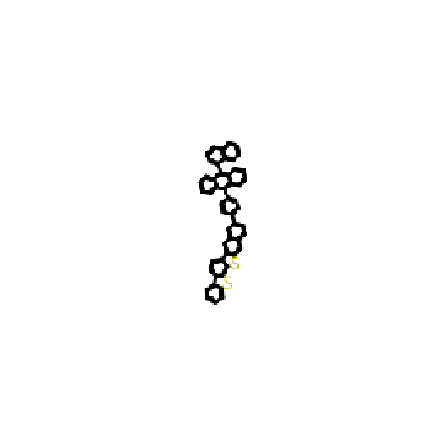 c1ccc2c(-c3c4ccccc4c(-c4ccc(-c5ccc6cc7sc8c(ccc9c%10ccccc%10sc98)c7cc6c5)cc4)c4ccccc34)cccc2c1